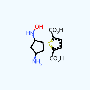 NC1CCC(NO)C1.O=C(O)c1ccc(C(=O)O)s1